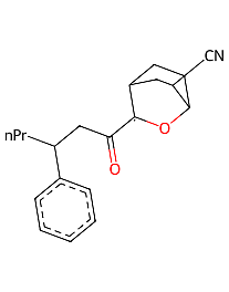 [CH2]CCC(CC(=O)[C]1OC2CCC1CC2C#N)c1ccccc1